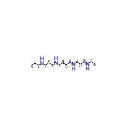 CCCNCCCNC/C=C/CNCCCNCC